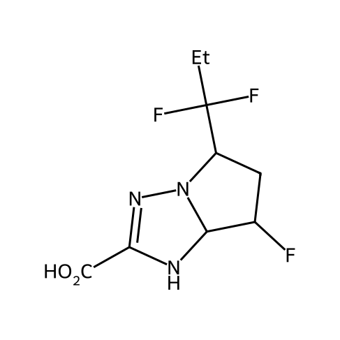 CCC(F)(F)C1CC(F)C2NC(C(=O)O)=NN21